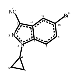 N#Cc1nn(C2CC2)c2ccc(Br)cc12